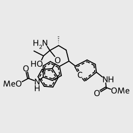 COC(=O)Nc1ccc(C(C[C@@H](C)C(N)(Oc2ccccc2)C(C)O)c2ccc(NC(=O)OC)cc2)cc1